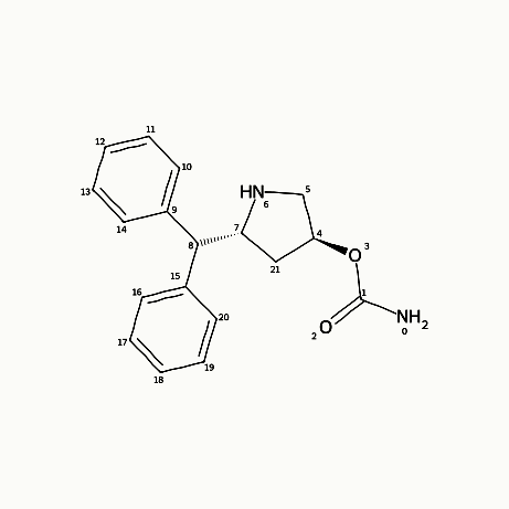 NC(=O)O[C@@H]1CN[C@@H](C(c2ccccc2)c2ccccc2)C1